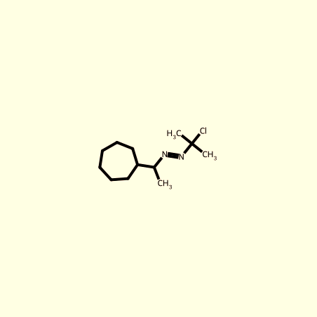 CC(/N=N/C(C)(C)Cl)C1CCCCCC1